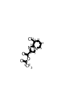 O=C(OC(=O)C(F)(F)F)c1cn2cccc(Cl)c2n1